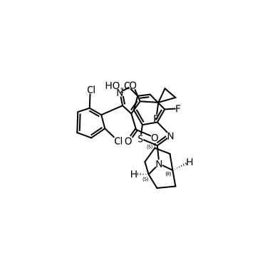 O=C(O)c1cc(F)c2nc(N3[C@@H]4CC[C@H]3C[C@H](OC(=O)c3c(-c5c(Cl)cccc5Cl)noc3C3(F)CC3)C4)sc2c1